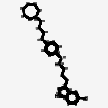 Clc1ccc2[nH]cc(CCCNSc3ccc(OCCCN4CCCCCC4)cc3)c2c1